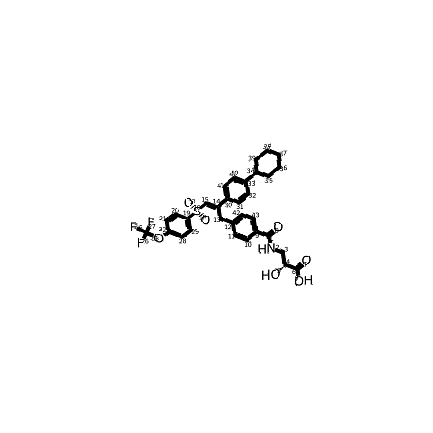 O=C(NC[C@@H](O)C(=O)O)c1ccc(C/C(=C\S(=O)(=O)c2ccc(OC(F)(F)F)cc2)c2ccc(C3CCCCC3)cc2)cc1